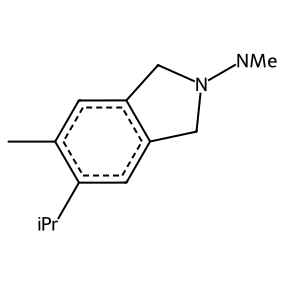 CNN1Cc2cc(C)c(C(C)C)cc2C1